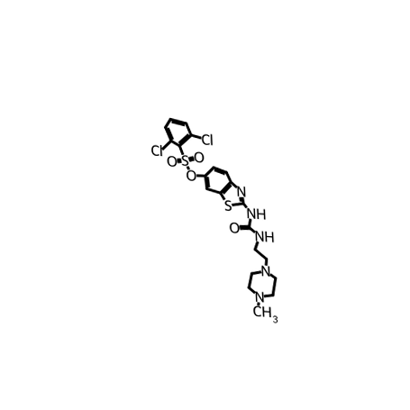 CN1CCN(CCNC(=O)Nc2nc3ccc(OS(=O)(=O)c4c(Cl)cccc4Cl)cc3s2)CC1